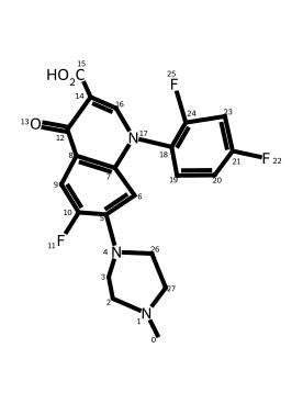 CN1CCN(c2cc3c(cc2F)c(=O)c(C(=O)O)cn3-c2ccc(F)cc2F)CC1